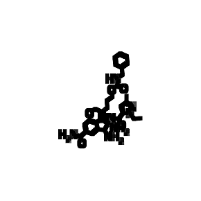 CCn1nc(C)cc1C(=O)N[C@]1(N)[C@@H]2c3c(cc(C(N)=O)cc3[C@@H]1N)OC[C@H]2CCCOC(=O)NCc1ccccc1